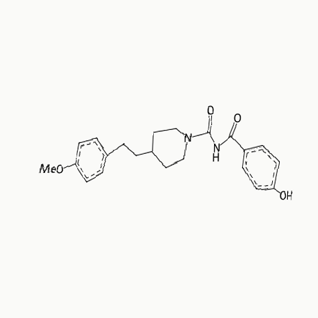 COc1ccc(CCC2CCN(C(=O)NC(=O)c3ccc(O)cc3)CC2)cc1